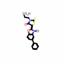 CCN1/C(=C2\SC(=S)N(CCC(=O)O)C2=O)Oc2ccc(-c3ccccc3)cc21